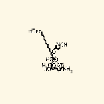 CCCCCCCCCCCCCCCCCCCC[C@H](COP(=O)(O)OC[C@@]1(C)O[C@@H](c2ccc3c(N)ncnn23)C[C@@H]1O)OCc1ccc(C#N)nc1